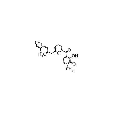 C=C(/C=C\C(F)=C/C)CC1=CCC=C(C(=O)c2ccn(C)c(=O)c2O)O1